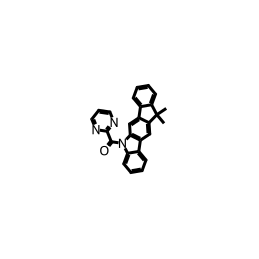 CC1(C)c2ccccc2-c2cc3c(cc21)c1ccccc1n3C(=O)c1ncccn1